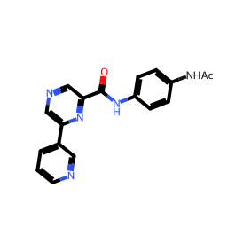 CC(=O)Nc1ccc(NC(=O)c2cncc(-c3cccnc3)n2)cc1